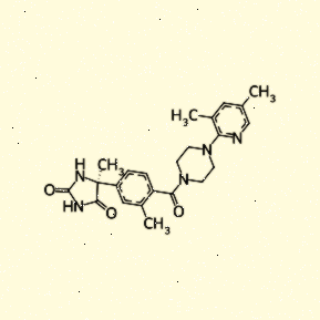 Cc1cnc(N2CCN(C(=O)c3ccc([C@]4(C)NC(=O)NC4=O)cc3C)CC2)c(C)c1